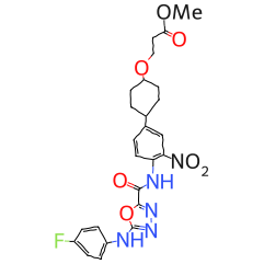 COC(=O)CCOC1CCC(c2ccc(NC(=O)c3nnc(Nc4ccc(F)cc4)o3)c([N+](=O)[O-])c2)CC1